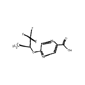 CC(Oc1cnc(C(=O)O)cn1)C(F)(F)F